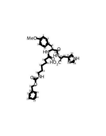 COc1ccc(C[C@H](NC(=O)CCCCCNC(=O)OCc2ccccc2)C(=O)N[C@@H](Cc2c[nH]cn2)C(=O)O)cc1